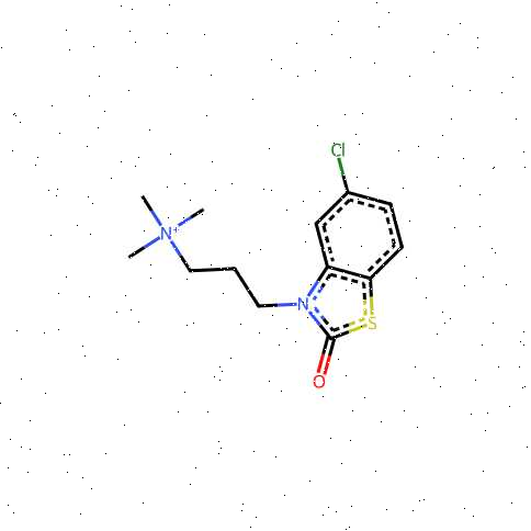 C[N+](C)(C)CCCn1c(=O)sc2ccc(Cl)cc21